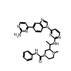 CC(Nc1nccc(-n2cnc3cc(-c4ccnc(N)n4)ccc32)n1)C1CN(C(=O)Nc2ccccc2)CCN1C